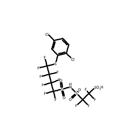 O=S(=O)(O)C(F)(F)C(F)(F)S(=O)(=O)NS(=O)(=O)C(F)(F)C(F)(F)C(F)(F)C(F)(F)Sc1cc(Cl)ccc1Cl